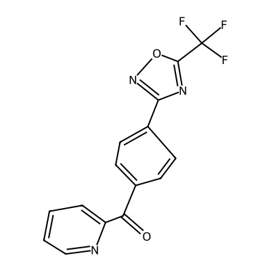 O=C(c1ccc(-c2noc(C(F)(F)F)n2)cc1)c1ccccn1